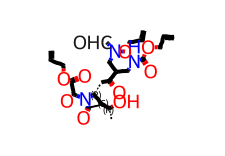 C=CCOC(=O)NCC(CN(C=O)OCC=C)C(=O)C[C@@H]1[C@@H]([C@@H](C)O)C(=O)N1C(=O)C(=O)OCC=C